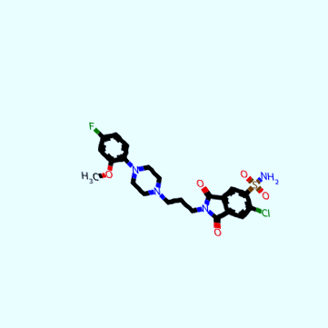 COc1cc(F)ccc1N1CCN(CCCN2C(=O)c3cc(Cl)c(S(N)(=O)=O)cc3C2=O)CC1